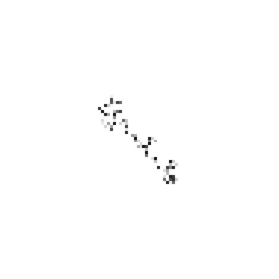 CC(C)C(C)(C(=O)OCCOC(=O)CCCC(=O)O)C(C)(C)C